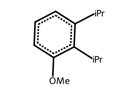 COc1cccc(C(C)C)c1C(C)C